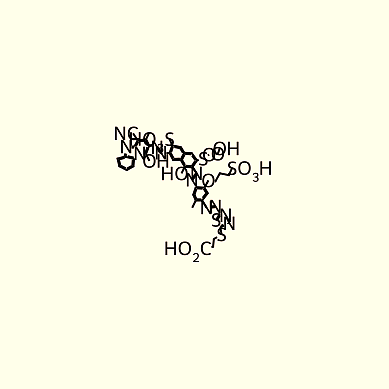 Cc1cc(N=Nc2c(SOOO)cc3cc(S(=O)(=O)O)c(N=Nc4c(C)c(C#N)c5nc6ccccc6n5c4O)cc3c2O)c(OCCCS(=O)(=O)O)cc1N=Nc1nnc(SCCC(=O)O)s1